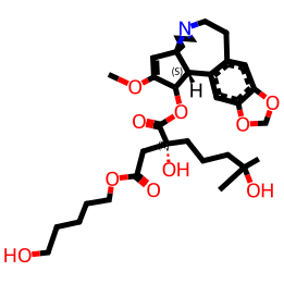 COC1=CC23CCCN2CCc2cc4c(cc2[C@@H]3C1OC(=O)[C@@](O)(CCCC(C)(C)O)CC(=O)OCCCCCO)OCO4